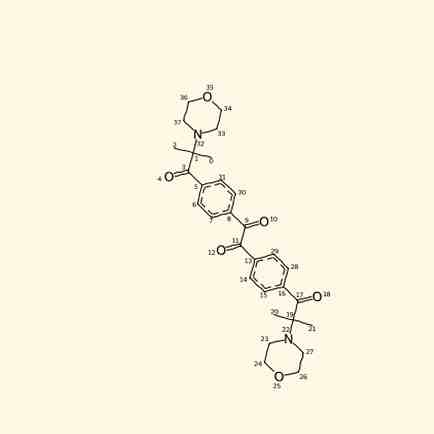 CC(C)(C(=O)c1ccc(C(=O)C(=O)c2ccc(C(=O)C(C)(C)N3CCOCC3)cc2)cc1)N1CCOCC1